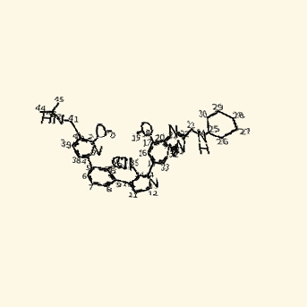 COc1nc(-c2cccc(-c3ccnc(-c4cc(OC)c5nc(CNC6CCCCC6)nn5c4)c3Cl)c2Cl)ccc1CNC(C)C